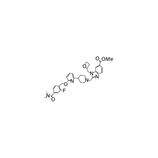 COC(=O)c1ccc2nc(CN3CCC(c4cccc(OCc5ccc(C(=O)N(C)C)cc5F)n4)CC3)n(CC3CCO3)c2c1